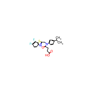 CC(C)c1ccc(N(Cc2nc3ccc(F)c(F)c3s2)C(=O)CCC(=O)O)cc1